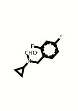 O=[C]N(Cc1ccc(F)cc1F)C1CC1